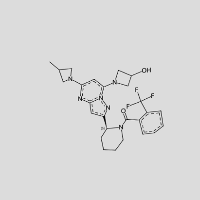 CC1CN(c2cc(N3CC(O)C3)n3nc([C@@H]4CCCCN4C(=O)c4ccccc4C(F)(F)F)cc3n2)C1